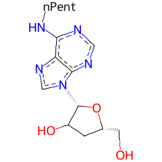 CCCCCNc1ncnc2c1ncn2[C@@H]1O[C@H](CO)CC1O